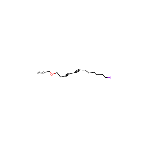 COCOCCC#CC#CCCCCCCI